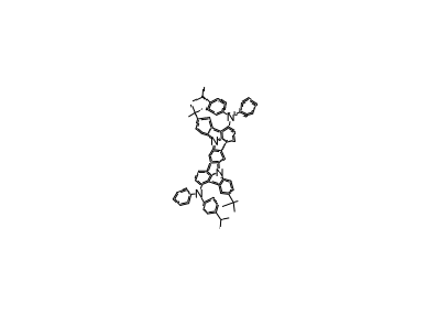 CC(C)c1ccc(N(c2ccccc2)c2ccc3c4cc5c(cc4n4c6ccc(C(C)(C)C)cc6c2c34)c2ccc(N(c3ccccc3)c3ccc(C(C)C)cc3)c3c4cc(C(C)(C)C)ccc4n5c23)cc1